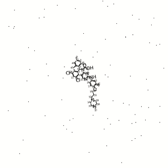 Cc1cc(C)c(C(c2cc(Cl)cc(Cl)c2)N(C(=O)O)c2ccnc(Nc3ccc(OCCCN4CCN(C)CC4)c(F)c3)n2)c(C)c1